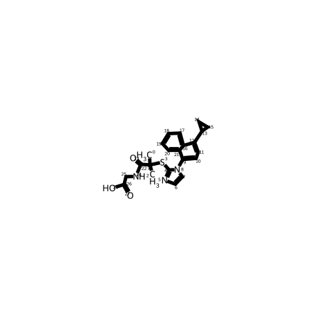 CC(C)(Sc1nccn1-c1ccc(C2CC2)c2ccccc12)C(=O)NCC(=O)O